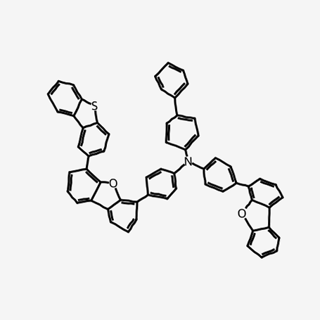 c1ccc(-c2ccc(N(c3ccc(-c4cccc5c4oc4ccccc45)cc3)c3ccc(-c4cccc5c4oc4c(-c6ccc7sc8ccccc8c7c6)cccc45)cc3)cc2)cc1